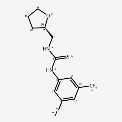 FC(F)(F)c1cc(NC(=S)NC[C@H]2CCCO2)cc(C(F)(F)F)c1